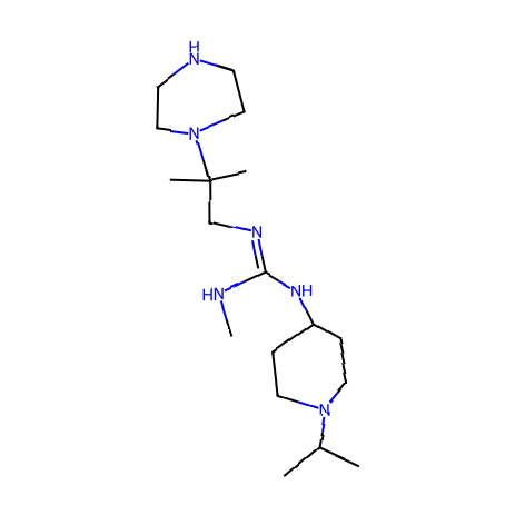 CN/C(=N\CC(C)(C)N1CCNCC1)NC1CCN(C(C)C)CC1